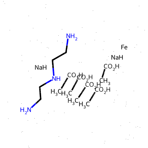 CC(=O)O.CC(=O)O.CC(=O)O.CC(=O)O.CC(=O)O.NCCNCCN.[Fe].[NaH].[NaH]